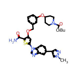 CC(C)COC(=O)N1CCC(Oc2cccc(COc3cc(-n4cnc5cc(-c6cnn(C)c6)ccc54)sc3C(N)=O)c2)CC1